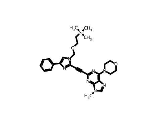 Cn1cnc2c(N3CCOCC3)nc(C#Cc3nc(-c4ccccc4)cn3COCC[Si](C)(C)C)nc21